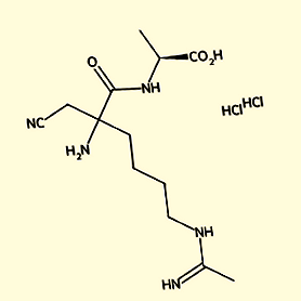 CC(=N)NCCCCC(N)(CC#N)C(=O)N[C@@H](C)C(=O)O.Cl.Cl